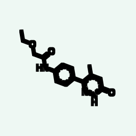 CCOCC(=O)Nc1ccc(-c2n[nH]c(=O)cc2C)cc1